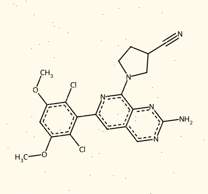 COc1cc(OC)c(Cl)c(-c2cc3cnc(N)nc3c(N3CCC(C#N)C3)n2)c1Cl